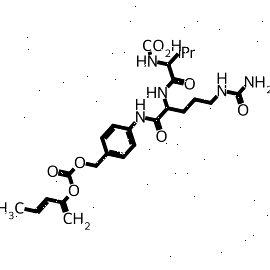 C=C(C=CC)OC(=O)OCc1ccc(NC(=O)C(CCCNC(N)=O)NC(=O)C(NC(=O)O)C(C)C)cc1